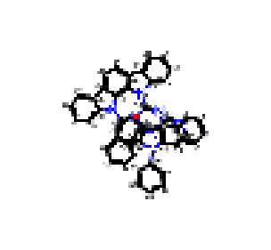 c1ccc(-c2nc(-c3ccccc3)nc(-n3c4ccccc4c4ccc5c6ccccc6n(-c6ccc7c(c6)c6cnccc6n7-c6ccccc6)c5c43)n2)cc1